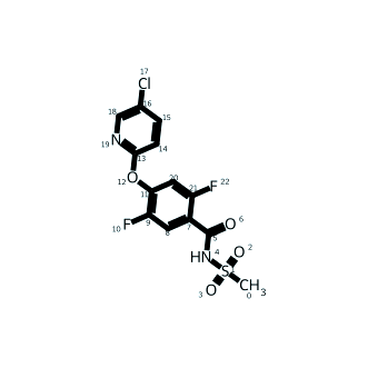 CS(=O)(=O)NC(=O)c1cc(F)c(Oc2ccc(Cl)cn2)cc1F